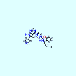 CCC(NC(=O)N1CCN(c2ncnc3[nH]c(-c4ccncc4)cc23)CC1)c1ccccc1